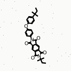 CCC(C)(C)c1ccc(Oc2ccc(-n3c(=O)c4cc5c(=O)n(C(C)(C)CC)c(=O)c5cc4c3=O)cc2)cc1